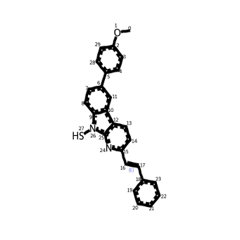 COc1ccc(-c2ccc3c(c2)c2ccc(/C=C/c4ccccc4)nc2n3S)cc1